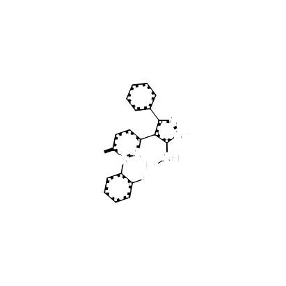 CCNc1[nH]nc(-c2ccccc2)c1-c1ccc(=O)n(-c2ccccc2C)n1